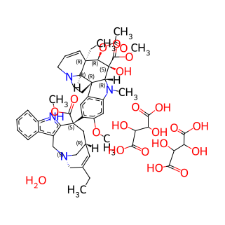 CCC1=C[C@@H]2C[N@](C1)Cc1c([nH]c3ccccc13)[C@@](C(=O)OC)(c1cc3c(cc1OC)N(C)[C@H]1[C@@](O)(C(=O)OC)[C@H](OC(C)=O)[C@]4(CC)C=CCN5CC[C@]31[C@@H]54)C2.O.O=C(O)C(O)C(O)C(=O)O.O=C(O)C(O)C(O)C(=O)O